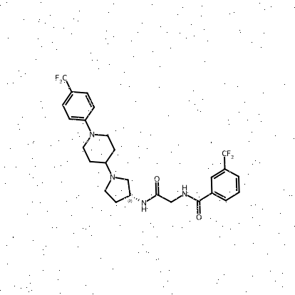 O=C(CNC(=O)c1cccc(C(F)(F)F)c1)N[C@@H]1CCN(C2CCN(c3ccc(C(F)(F)F)cc3)CC2)C1